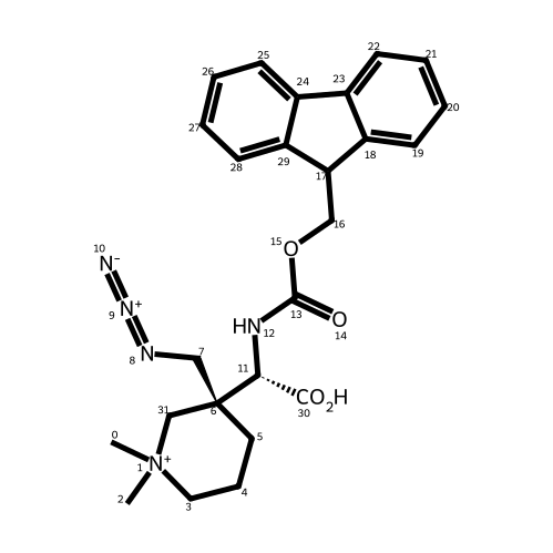 C[N+]1(C)CCC[C@@](CN=[N+]=[N-])([C@H](NC(=O)OCC2c3ccccc3-c3ccccc32)C(=O)O)C1